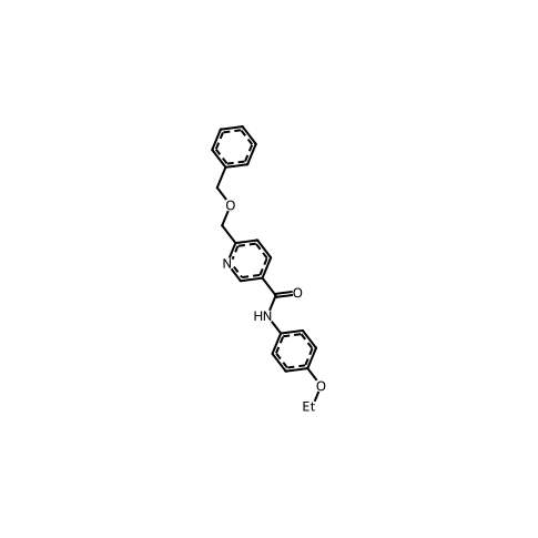 CCOc1ccc(NC(=O)c2ccc(COCc3ccccc3)nc2)cc1